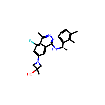 Cc1cccc([C@@H](C)Nc2nnc(C)c3c(F)cc(N4CC(C)(O)C4)cc23)c1C